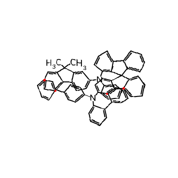 CC1(C)c2ccccc2-c2ccc(N(c3ccccc3)c3cccc4c3C3(c5ccccc5-c5cc(N(c6ccc(-c7ccccc7)cc6)c6ccccc6-c6ccccc6)ccc53)c3ccccc3-4)cc21